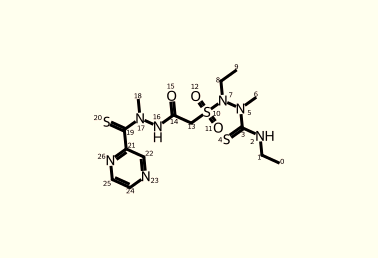 CCNC(=S)N(C)N(CC)S(=O)(=O)CC(=O)NN(C)C(=S)c1cnccn1